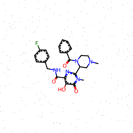 CN1CCN(C(=O)c2ccccc2)C(c2nc(C(=O)NCc3ccc(F)cc3)c(O)c(=O)n2C)C1